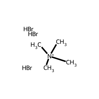 Br.Br.Br.C[N+](C)(C)C